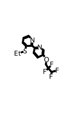 CCSc1cccnc1-c1ccc(OCC(F)(F)C(F)F)cn1